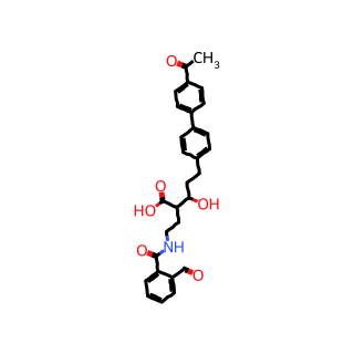 CC(=O)c1ccc(-c2ccc(CCC(O)C(CCNC(=O)c3ccccc3C=O)C(=O)O)cc2)cc1